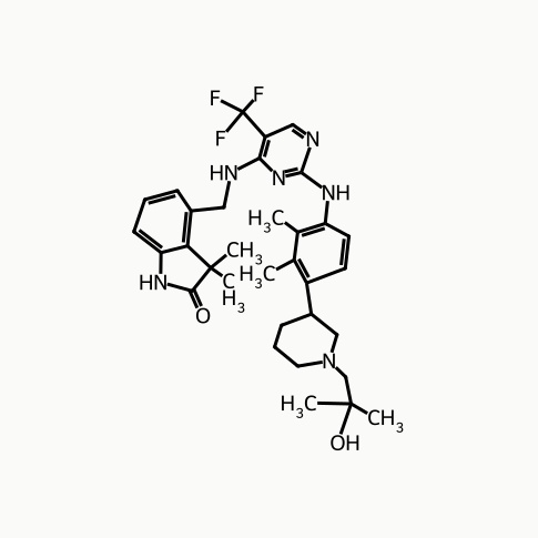 Cc1c(Nc2ncc(C(F)(F)F)c(NCc3cccc4c3C(C)(C)C(=O)N4)n2)ccc(C2CCCN(CC(C)(C)O)C2)c1C